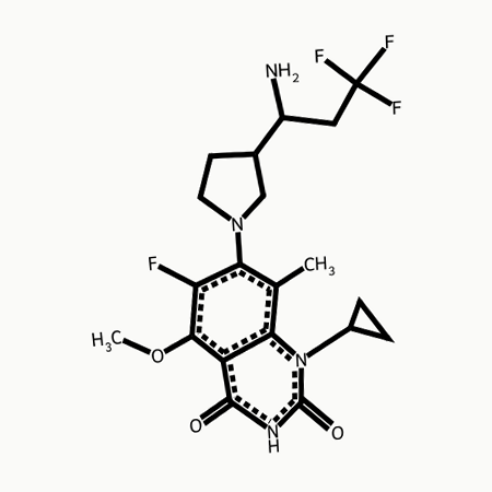 COc1c(F)c(N2CCC(C(N)CC(F)(F)F)C2)c(C)c2c1c(=O)[nH]c(=O)n2C1CC1